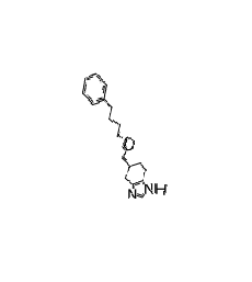 c1ccc(CCCCOCC2CCc3[nH]cnc3C2)cc1